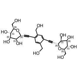 OCc1cc(C#C[C@H]2O[C@H](CO)[C@@H](O)[C@H](O)[C@@H]2O)c(CO)cc1C#C[C@H]1O[C@H](CO)[C@@H](O)[C@H](O)[C@@H]1O